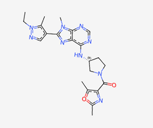 CCn1ncc(-c2nc3c(N[C@@H]4CCN(C(=O)c5nc(C)oc5C)C4)ncnc3n2C)c1C